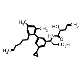 C=CCCCCc1cc(C)cc(C)c1-c1cc(C2CC2)cc([C@H](CC(=O)OCC)NC(=O)[C@H](O)CC=C)c1